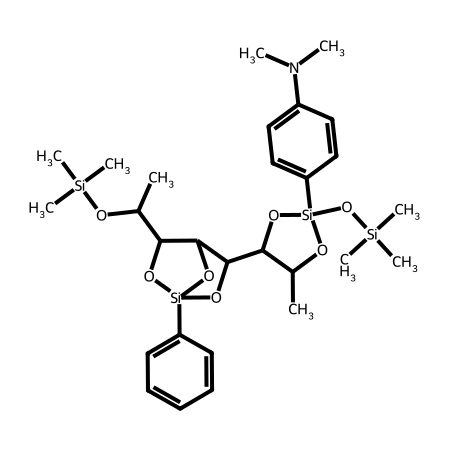 CC(O[Si](C)(C)C)C1O[Si]2(c3ccccc3)OC1C(C1O[Si](O[Si](C)(C)C)(c3ccc(N(C)C)cc3)OC1C)O2